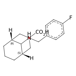 O=C(O)N1C[C@H]2CCC[C@@H](C1)C2NCc1ccc(F)cc1